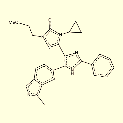 COCCn1nc(-c2nc(-c3ccccc3)[nH]c2-c2ccc3cnn(C)c3c2)n(C2CC2)c1=O